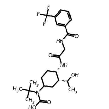 CC(O)[C@@H]1CC(N(C(=O)O)C(C)(C)C)CC[C@@H]1NC(=O)CNC(=O)c1cccc(C(F)(F)F)c1